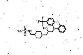 CS(=O)(=O)NCC1CCN(CC(O)CN2c3ccccc3Sc3ccc(C(F)(F)F)cc32)CC1